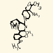 COc1cccc(-c2c(C)nc(N3CCC4(CC3)COC(C)C4N)c3ccnn23)c1Cl